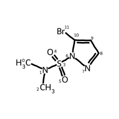 CN(C)S(=O)(=O)n1nccc1Br